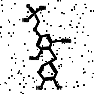 COc1cc(OCP(=O)(O)O)cc(OC)c1Cc1ccc(O)c(C(C)C)c1